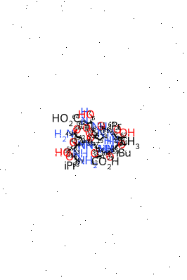 CC[C@H](C)[C@H](NC(=O)[C@H](CO)NC(=O)[C@@H]1CCCN1C(=O)[C@@H](NC(=O)[C@@H](NC(=O)[C@@H](NC(=O)[C@H](CCC(=O)O)NC(=O)CNC(=O)[C@H](CCC(N)=O)NC(=O)[C@H](CO)NC(=O)[C@@H](N)C(C)C)[C@@H](C)CC)[C@@H](C)O)C(C)C)C(=O)O